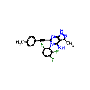 Cc1ccc(C#Cc2nc3[nH]nc(C)c3c(=N)n2-c2c(F)ccc(F)c2F)cc1